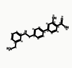 NCc1cccc(NCc2ccc(-c3ccc(C(=O)O)c(O)c3)cc2)c1